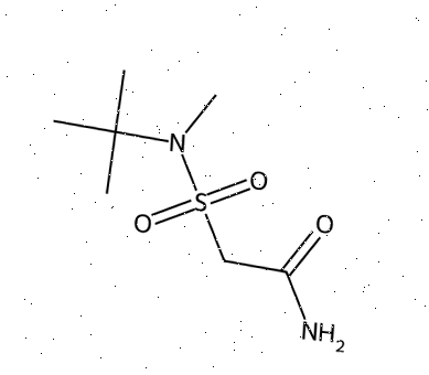 CN(C(C)(C)C)S(=O)(=O)CC(N)=O